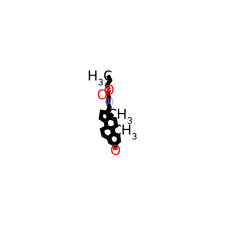 CCCOC(=O)/C=C/CC1CCC2C3CCC4=CC(=O)CCC4(C)C3CCC12C